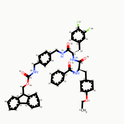 CCOc1ccc(C[C@@H](NC(=O)c2ccccc2)C(=O)N[C@@H](Cc2ccc(F)c(F)c2)C(=O)NCc2ccc(CNC(=O)OCC3c4ccccc4-c4ccccc43)cc2)cc1